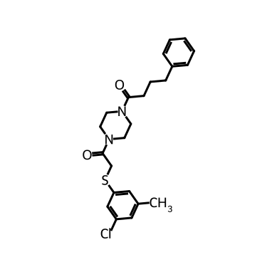 Cc1cc(Cl)cc(SCC(=O)N2CCN(C(=O)CCCc3ccccc3)CC2)c1